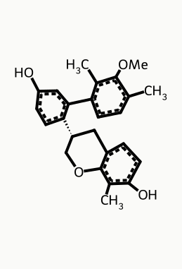 COc1c(C)ccc(-c2cc(O)ccc2[C@H]2COc3c(ccc(O)c3C)C2)c1C